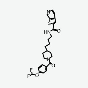 O=C(NCCCCC1CCN(C(=O)c2ccc(OC(F)F)cc2)CC1)c1cc2ccncc2s1